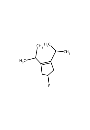 CC(C)C1=C(C(C)C)CC(F)C1